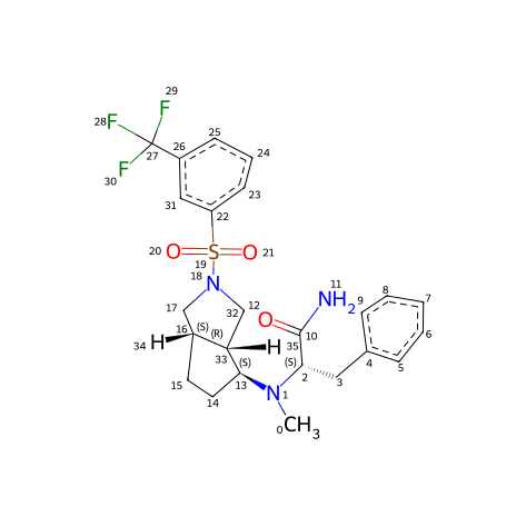 CN([C@@H](Cc1ccccc1)C(N)=O)[C@H]1CC[C@@H]2CN(S(=O)(=O)c3cccc(C(F)(F)F)c3)C[C@@H]21